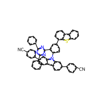 N#Cc1ccc(-c2ccc3c4ccc(-c5ccc(C#N)cc5)cc4n(-c4ccc(-c5cccc6c5sc5ccccc56)cc4-c4nc(-c5ccccc5)nc(-c5ccccc5)n4)c3c2)cc1